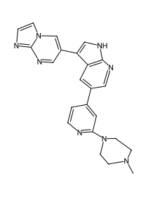 CN1CCN(c2cc(-c3cnc4[nH]cc(-c5cnc6nccn6c5)c4c3)ccn2)CC1